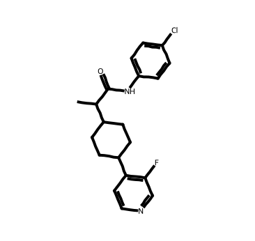 CC(C(=O)Nc1ccc(Cl)cc1)C1CCC(c2ccncc2F)CC1